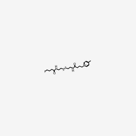 Cc1cc[n+](CCCC(=O)NCCSSCCNC(=O)CCCI)cc1